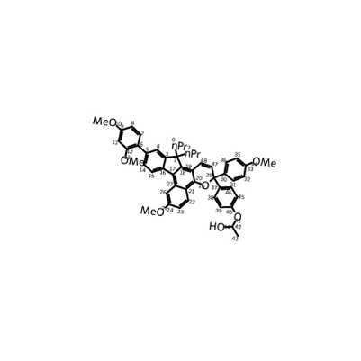 CCCC1(CCC)c2cc(-c3ccc(OC)cc3OC)ccc2-c2c1c1c(c3ccc(OC)cc23)OC(c2ccc(OC)cc2)(c2ccc(OC(C)O)cc2)C=C1